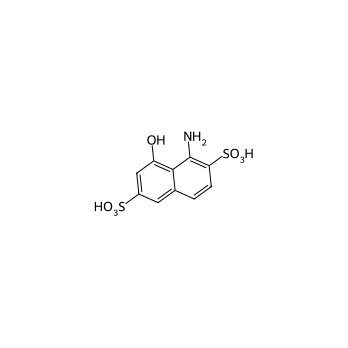 Nc1c(S(=O)(=O)O)ccc2cc(S(=O)(=O)O)cc(O)c12